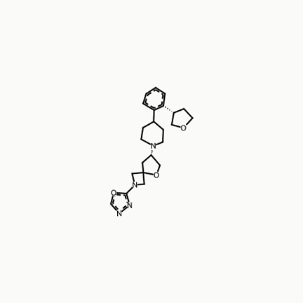 c1ccc([C@@H]2CCOC2)c(C2CCN([C@@H]3COC4(C3)CN(c3nnco3)C4)CC2)c1